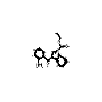 CCOC(=O)n1cc(C(=O)c2ccccc2N)c2ccccc21